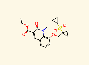 CCOC(=O)c1cc2cccc(OCC3(S(=O)(=O)C4CC4)CC3)c2n(C)c1=O